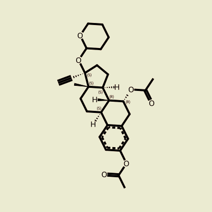 C#C[C@]1(OC2CCCCO2)CC[C@H]2[C@H]3[C@H](CC[C@@]21C)c1ccc(OC(C)=O)cc1C[C@H]3OC(C)=O